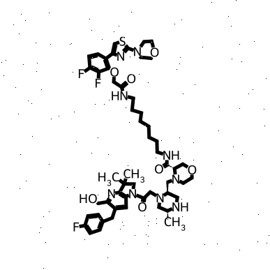 C[C@@H]1CN(CC(=O)N2CC(C)(C)c3nc(CO)c(Cc4ccc(F)cc4)cc32)[C@@H](CN2CCOC[C@H]2C(=O)NCCCCCCCCNC(=O)COc2c(-c3csc(N4CCOCC4)n3)ccc(F)c2F)CN1